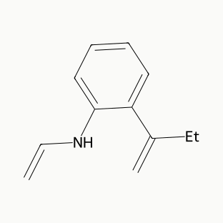 C=CNc1ccccc1C(=C)CC